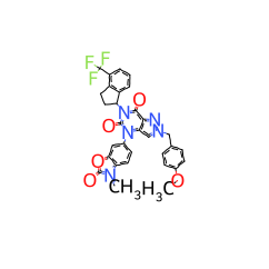 COc1ccc(Cn2cc3c(n2)c(=O)n(C2CCc4c2cccc4C(F)(F)F)c(=O)n3-c2ccc3c(c2)oc(=O)n3C)cc1